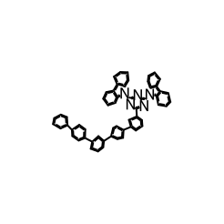 c1ccc(-c2ccc(-c3cccc(-c4ccc(-c5cccc(-c6nc(-n7c8ccccc8c8ccccc87)nc(-n7c8ccccc8c8ccccc87)n6)c5)cc4)c3)cc2)cc1